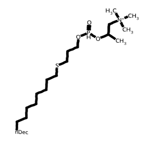 CCCCCCCCCCCCCCCCCCSCCCO[PH](=O)OC(C)C[N+](C)(C)C